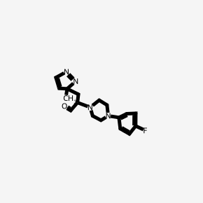 CC1(CC(C=O)N2CCN(c3ccc(F)cc3)CC2)C=CN=N1